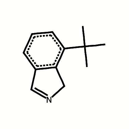 CC(C)(C)c1cccc2c1CN=C2